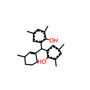 Cc1cc(C)c(O)c(C(C2=CC(C)CCC2)c2cc(C)cc(C)c2O)c1